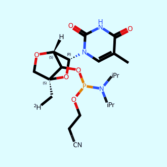 [2H]C[C@]12CO[C@@H](C1OP(OCCC#N)N(C(C)C)C(C)C)[C@H](n1cc(C)c(=O)[nH]c1=O)O2